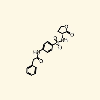 O=C(Cc1ccccc1)Nc1ccc(S(=O)(=O)N[C@H]2CCOC2=O)cc1